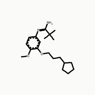 COc1ccc(/N=C(/N)C(C)(C)C)cc1OCCCC1CCCC1